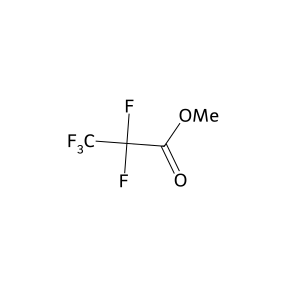 [CH2]OC(=O)C(F)(F)C(F)(F)F